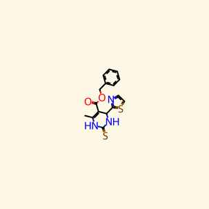 CC1=C(C(=O)OCc2ccccc2)C(c2nccs2)NC(=S)N1